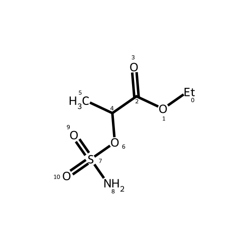 CCOC(=O)C(C)OS(N)(=O)=O